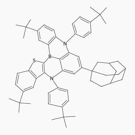 CC(C)(C)c1ccc(N2c3ccc(C(C)(C)C)cc3B3c4sc5ccc(C(C)(C)C)cc5c4N(c4ccc(C(C)(C)C)cc4)c4cc(C56CCC7CC(CC5)CC(C7)C6)cc2c43)cc1